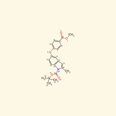 COC(=O)c1ccc(Oc2ccc3c(c2)cc(C)n3C(=O)OC(C)(C)C)cc1